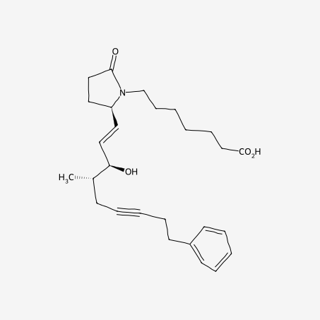 C[C@@H](CC#CCCc1ccccc1)[C@H](O)C=C[C@H]1CCC(=O)N1CCCCCCC(=O)O